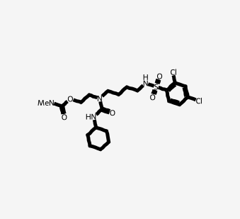 CNC(=O)OCCN(CCCCNS(=O)(=O)c1ccc(Cl)cc1Cl)C(=O)NC1CCCCC1